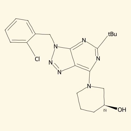 CC(C)(C)c1nc(N2CCC[C@H](O)C2)c2nnn(Cc3ccccc3Cl)c2n1